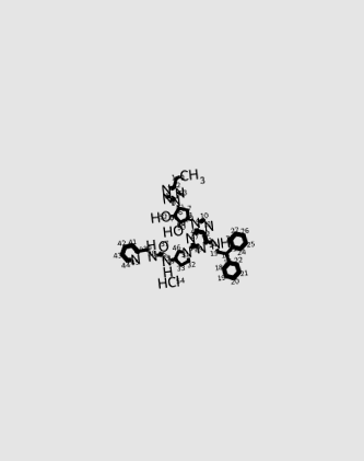 CCc1nnn([C@H]2C[C@@H](n3cnc4c(NCC(c5ccccc5)c5ccccc5)nc(N5CCC(NC(=O)NCc6ccccn6)C5)nc43)[C@H](O)[C@@H]2O)n1.Cl